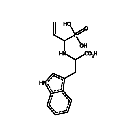 C=CC(NC(Cc1c[nH]c2ccccc12)C(=O)O)P(=O)(O)O